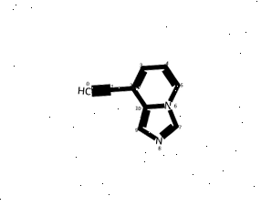 C#Cc1cccn2cncc12